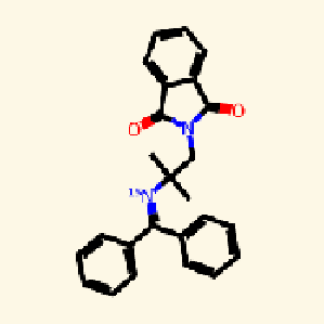 CC(C)(CN1C(=O)c2ccccc2C1=O)[15N]=C(c1ccccc1)c1ccccc1